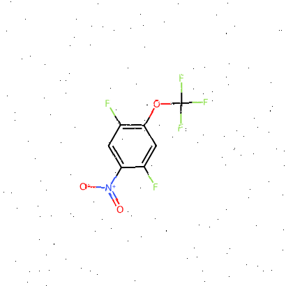 O=[N+]([O-])c1cc(F)c(OC(F)(F)F)cc1F